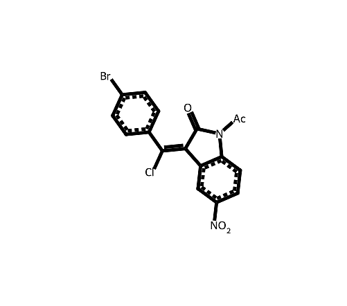 CC(=O)N1C(=O)C(=C(Cl)c2ccc(Br)cc2)c2cc([N+](=O)[O-])ccc21